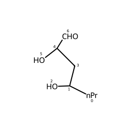 CCCC(O)CC(O)C=O